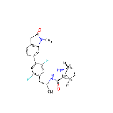 CN1C(=O)Cc2ccc(-c3cc(F)c(CC(C#N)NC(=O)[C@H]4N[C@@H]5CC[C@H]4C5)cc3F)cc21